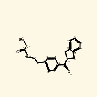 CC(C)(C)OC(=O)NCCc1ccc(C(=O)N2Cc3cccnc3C2)cc1